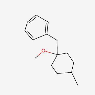 COC1(Cc2ccccc2)CCC(C)CC1